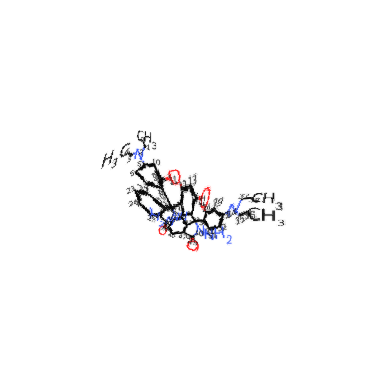 CCN(CC)c1ccc2c(c1)Oc1cc3c(cc1C2(NN)c1ccccc1C=O)C1(c2ccc(N(CC)CC)cc2O3)c2ccccc2C(=O)N1N